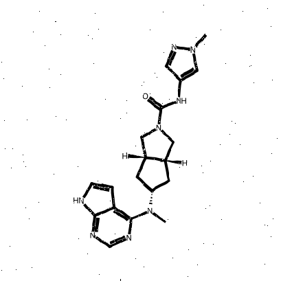 CN(c1ncnc2[nH]ccc12)[C@@H]1C[C@@H]2CN(C(=O)Nc3cnn(C)c3)C[C@@H]2C1